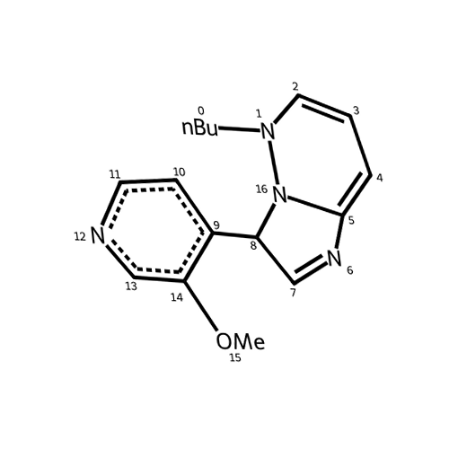 CCCCN1C=CC=C2N=CC(c3ccncc3OC)N21